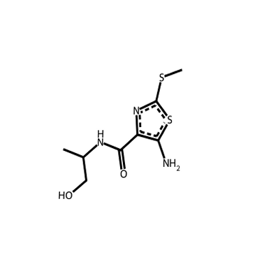 CSc1nc(C(=O)NC(C)CO)c(N)s1